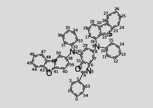 c1ccc(-c2nc3cc(N(c4ccccc4)c4cccc5c4sc4ccccc45)cc(N(c4ccccc4)c4ccc5oc6ccccc6c5c4)c3o2)cc1